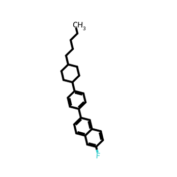 CCCCCC1CCC(c2ccc(-c3ccc4cc(F)ccc4c3)cc2)CC1